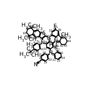 CC(C)(C)c1ccc(N2c3cc(N(c4ccc(C#N)cc4)c4ccccc4F)cc4c3B(c3cc(F)cc5c3N4C3(C)CCCCC53C)c3sc4cc5c(cc4c32)C(C)(C)CCC5(C)C)cc1